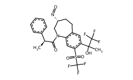 C[C@H](C(=O)N1C[C@H](N=O)CCc2cc(C(C)(O)C(F)(F)F)c(S(=O)(=O)C(F)(F)F)cc21)c1ccccc1